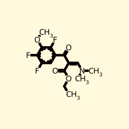 CCOC(=O)C(=CN(C)C)C(=O)c1cc(F)c(F)c(OC)c1F